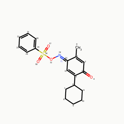 CC1=CC(=O)C(C2CCCCC2)=C/C1=N\OS(=O)(=O)c1ccccc1